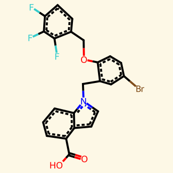 O=C(O)c1cccc2c1ccn2Cc1cc(Br)ccc1OCc1ccc(F)c(F)c1F